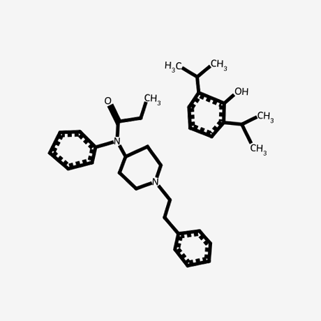 CC(C)c1cccc(C(C)C)c1O.CCC(=O)N(c1ccccc1)C1CCN(CCc2ccccc2)CC1